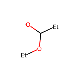 [CH2]CC([O])OCC